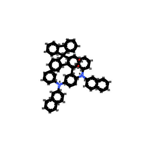 c1ccc(N(c2ccc(N(c3ccccc3)c3ccc4ccccc4c3)c(-c3cccc4c3-c3ccccc3C43c4ccccc4-c4ccccc43)c2)c2ccc3ccccc3c2)cc1